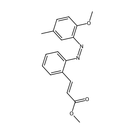 COC(=O)/C=C/c1ccccc1/N=N\c1cc(C)ccc1OC